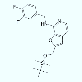 CC(C)(C)[Si](C)(C)OCc1cc2ccnc(NCc3ccc(F)c(F)c3)c2o1